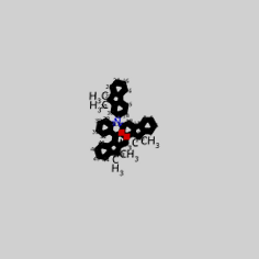 CC1(C)c2ccccc2-c2cc(N(c3ccc4c(c3)C(C)(C)c3ccccc3-4)c3ccccc3-c3cccc4c3-c3ccccc3C4(C)C)ccc21